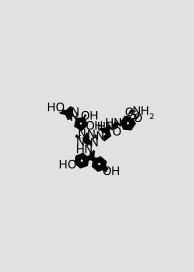 NS(=O)(=O)c1cccc(NC(=O)NC2CCN(c3nc(NCC(c4ccc(O)cc4)c4ccc(O)cc4)c4ncn([C@@H]5C[C@H](n6cc(CO)cn6)[C@@H](O)[C@H]5O)c4n3)C2)c1